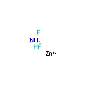 F.N.[F-].[Zn+]